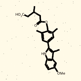 COc1ccc2[nH]c(-c3cc(C)c(OC(=O)CC(C)CC(=O)O)c(C)c3)c(C)c2c1